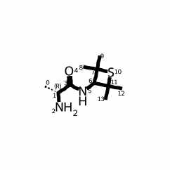 C[C@@H](N)C(=O)NC1C(C)(C)SC1(C)C